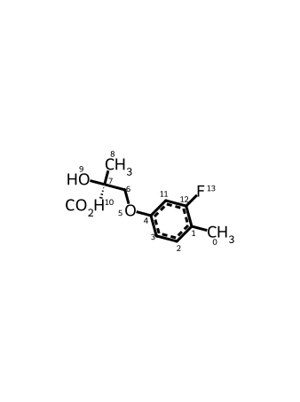 Cc1ccc(OC[C@](C)(O)C(=O)O)cc1F